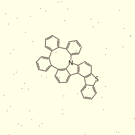 c1ccc2c(c1)sc1ccc3c(c4cccc5c6ccccc6c6ccccc6c6ccccc6n3c54)c12